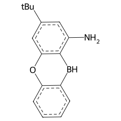 CC(C)(C)c1cc(N)c2c(c1)Oc1ccccc1B2